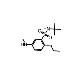 CCSc1ccc(NC)cc1S(=O)(=O)NC(C)(C)C